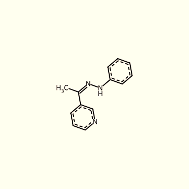 CC(=NNc1ccccc1)c1cccnc1